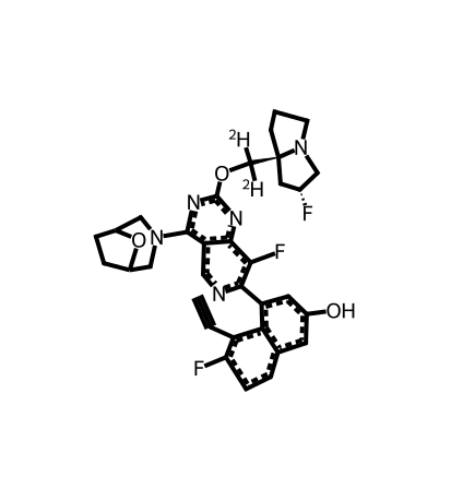 [2H]C([2H])(Oc1nc(N2CC3CCC(C2)O3)c2cnc(-c3cc(O)cc4ccc(F)c(C#C)c34)c(F)c2n1)[C@@]12CCCN1C[C@H](F)C2